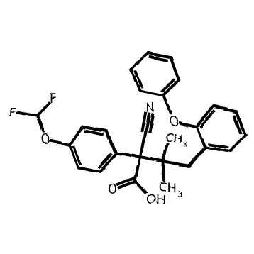 CC(C)(Cc1ccccc1Oc1ccccc1)C(C#N)(C(=O)O)c1ccc(OC(F)F)cc1